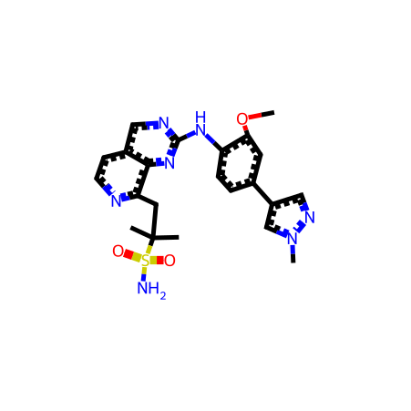 COc1cc(-c2cnn(C)c2)ccc1Nc1ncc2ccnc(CC(C)(C)S(N)(=O)=O)c2n1